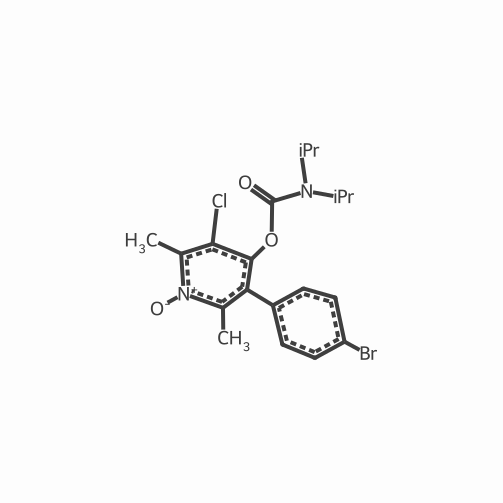 Cc1c(Cl)c(OC(=O)N(C(C)C)C(C)C)c(-c2ccc(Br)cc2)c(C)[n+]1[O-]